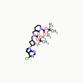 CC(C)(C)OC(=O)N1C=C(CN(CC2CCC(n3ccc4c(Cl)ncnc43)C2)C(=O)OC(C)(C)C)CCC1